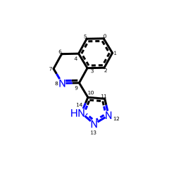 c1ccc2c(c1)CCN=C2c1cnn[nH]1